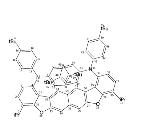 CC(C)c1ccc(N(c2ccc(C(C)(C)C)cc2)c2ccc(C(C)(C)C)cc2)c2c1oc1cc3cc4oc5c(C(C)C)ccc(N(c6ccc(C(C)(C)C)cc6)c6ccc(C(C)(C)C)cc6)c5c4cc3cc12